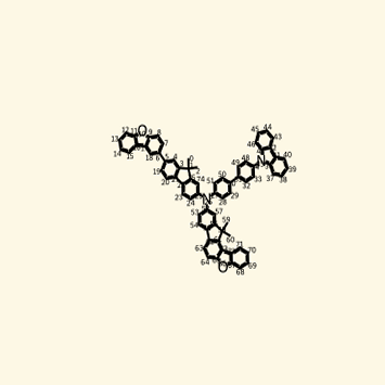 CC1(C)c2cc(-c3ccc4oc5ccccc5c4c3)ccc2-c2ccc(N(c3ccc(-c4ccc(-n5c6ccccc6c6ccccc65)cc4)cc3)c3ccc4c(c3)C(C)(C)c3c-4ccc4oc5ccccc5c34)cc21